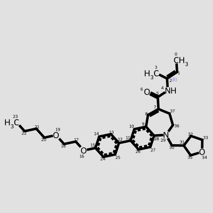 C/C=C(\C)NC(=O)C1=Cc2cc(-c3ccc(OCCOCCCC)cc3)ccc2N(CC2CCOC2)CC1